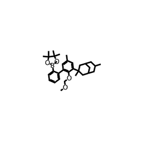 COCOc1c(-c2ccccc2B2OC(C)(C)C(C)(C)O2)cc(C)cc1C1(C)CC2CC(C)CC(C2)C1